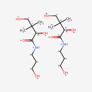 CC(C)(CO)[C@@H](O)C(=O)NCCCO.CC(C)(CO)[C@@H](O)C(=O)NCCCO